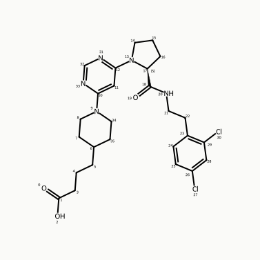 O=C(O)CCCC1CCN(c2cc(N3CCC[C@H]3C(=O)NCCc3ccc(Cl)cc3Cl)ncn2)CC1